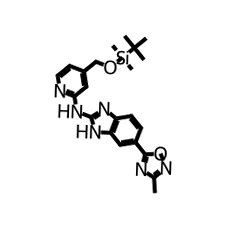 Cc1noc(-c2ccc3nc(Nc4cc(CO[Si](C)(C)C(C)(C)C)ccn4)[nH]c3c2)n1